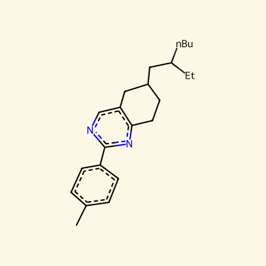 CCCCC(CC)CC1CCc2nc(-c3ccc(C)cc3)ncc2C1